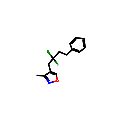 Cc1nocc1CC(F)(F)CCc1ccccc1